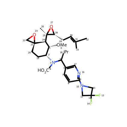 CO[C@@H]1[C@H](N(C(=O)O)C(c2ccc(N3CC(F)(F)C3)nc2)C(C)C)CC[C@]2(CO2)[C@H]1[C@@]1(C)O[C@@H]1CC=C(C)C